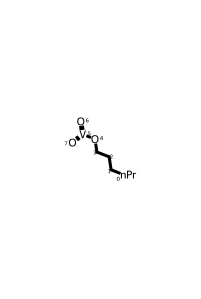 CCCCCC[O][V](=[O])=[O]